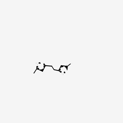 Cc1cc(CCc2cc(C)sn2)on1